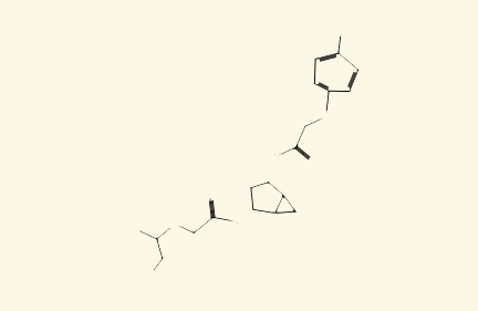 CCC(C)OCC(=O)N[C@@H]1C[C@H](NC(=O)COc2ccc(Cl)cc2)C2CC21